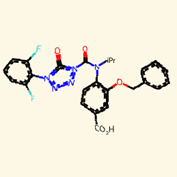 CC(C)N(C(=O)n1nnn(-c2c(F)cccc2F)c1=O)c1ccc(C(=O)O)cc1OCc1ccccc1